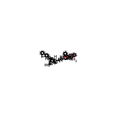 CC(C)(C)[C@H](NC(=O)C1CC2(C1)CC(N1CCC(c3cnc(N4C5CCC4CN(c4cc(-c6ccccc6O)nnc4N)C5)nc3)CC1)C2)C(=O)N1C[C@H](O)C[C@H]1C(=O)NOc1ccc(-c2ccccc2F)cc1